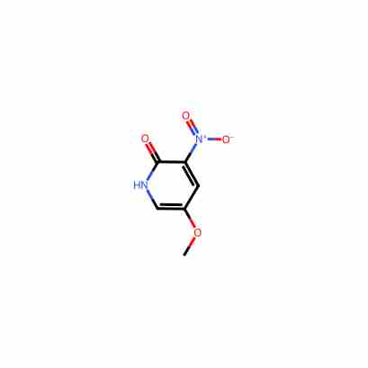 COc1c[nH]c(=O)c([N+](=O)[O-])c1